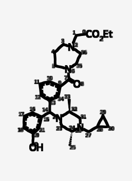 CCOC(=O)CN1CCCN(C(=O)c2cccc(C(c3cccc(O)c3)N3C[C@@H](C)N(CC4CC4)C[C@@H]3C)c2)CC1